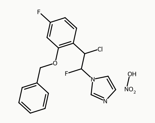 Fc1ccc(C(Cl)C(F)n2ccnc2)c(OCc2ccccc2)c1.O=[N+]([O-])O